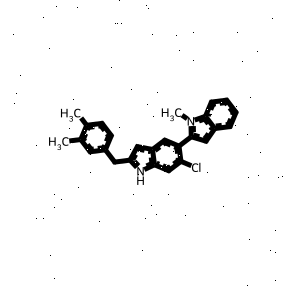 Cc1ccc(Cc2cc3cc(-c4cc5ccccc5n4C)c(Cl)cc3[nH]2)cc1C